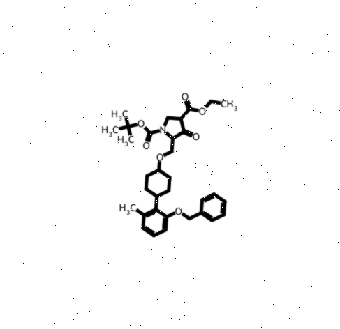 CCOC(=O)C1CN(C(=O)OC(C)(C)C)C(COC2CCC(c3c(C)cccc3OCc3ccccc3)CC2)C1=O